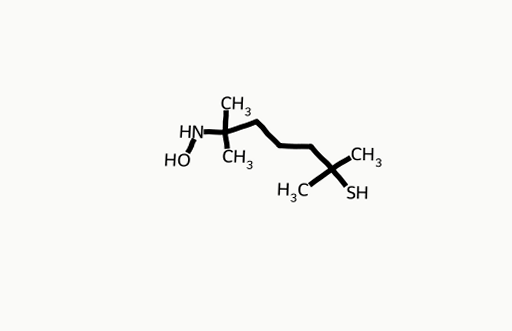 CC(C)(S)CCCC(C)(C)NO